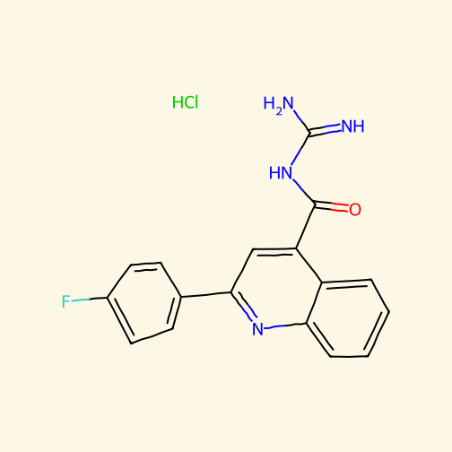 Cl.N=C(N)NC(=O)c1cc(-c2ccc(F)cc2)nc2ccccc12